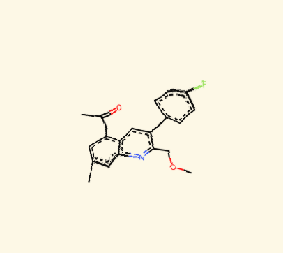 COCc1nc2cc(C)cc(C(C)=O)c2cc1-c1ccc(F)cc1